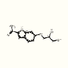 CC(=O)c1cc2ccc(OCC(O)CCl)cc2o1